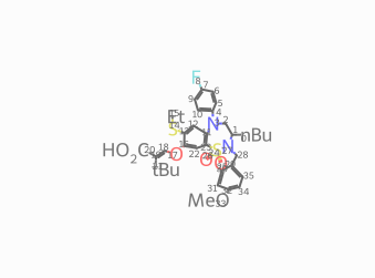 CCCCC1CN(c2ccc(F)cc2)c2cc(SCC)c(O/C=C(/C(=O)O)C(C)(C)C)cc2S(=O)(=O)N1Cc1ccc(OC)cc1